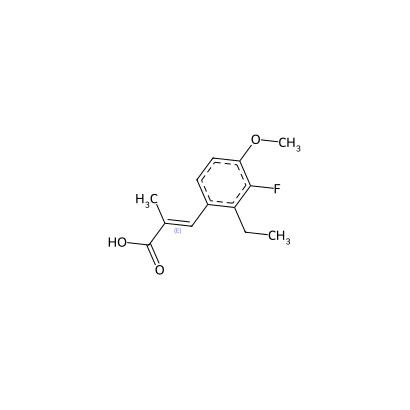 CCc1c(/C=C(\C)C(=O)O)ccc(OC)c1F